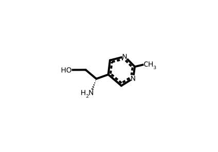 Cc1ncc([C@H](N)CO)cn1